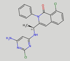 C[C@H](Nc1cc(N)nc(Cl)n1)c1cc2cccc(Cl)c2c(=O)n1-c1ccccc1